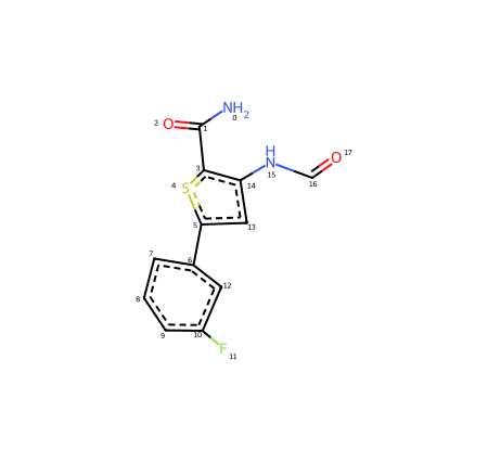 NC(=O)c1sc(-c2cccc(F)c2)cc1NC=O